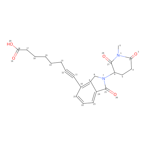 CN1C(=O)CCC(N2Cc3c(C#CCCCCCC(=O)O)cccc3C2=O)C1=O